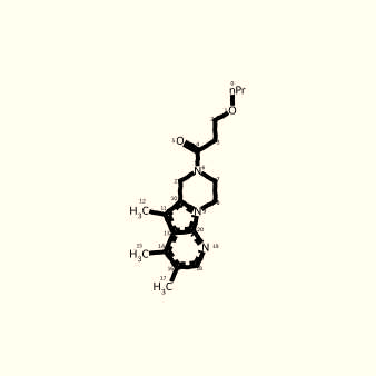 CCCOCCC(=O)N1CCn2c(c(C)c3c(C)c(C)cnc32)C1